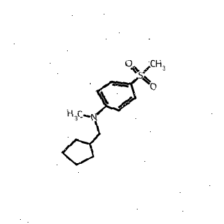 CN(CC1CCCC1)c1ccc(S(C)(=O)=O)cc1